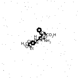 CCN1C(=O)C(C)(C)c2cc3[nH]c(-c4[c]c(C5(Cc6ccccc6)OC=C(C(=O)O)O5)n(C(N)=O)n4)nc3cc21